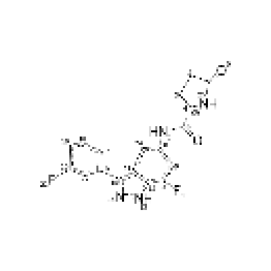 O=C1CC[C@@H](C(=O)Nc2cc(F)c3[nH]nc(-c4cccc(F)c4)c3c2)N1